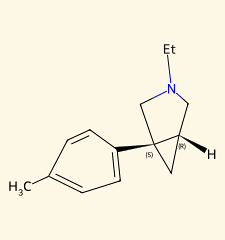 CCN1C[C@@H]2C[C@]2(c2ccc(C)cc2)C1